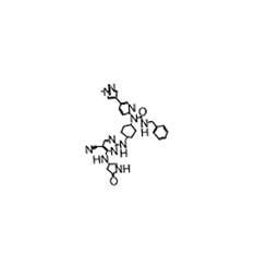 Cn1cc(-c2ccc(N(C(=O)NCc3ccccc3)[C@H]3CC[C@H](Nc4ncc(C#N)c(NC5CNC(=O)C5)n4)CC3)nc2)cn1